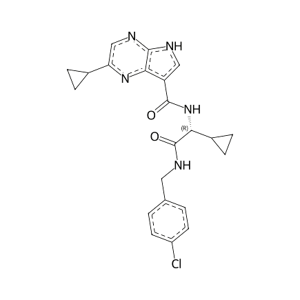 O=C(N[C@@H](C(=O)NCc1ccc(Cl)cc1)C1CC1)c1c[nH]c2ncc(C3CC3)nc12